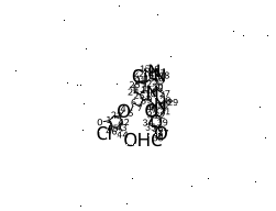 Cc1cc(OCCCc2c3n(c4c(-c5c(C)nn(C)c5C)c(Cl)ccc24)CCC(C)N(Cc2cccc(OC=O)c2)C3=O)cc(C)c1Cl